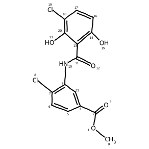 COC(=O)c1ccc(Cl)c(NC(=O)c2c(O)ccc(Cl)c2O)c1